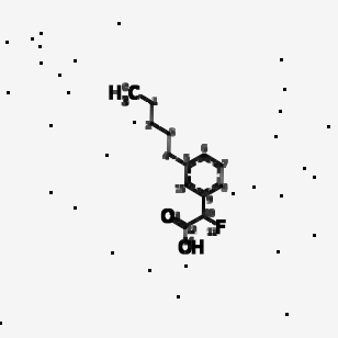 CCCCCc1cccc(C(F)C(=O)O)c1